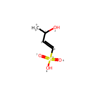 CC(O)C=CS(=O)(=O)O